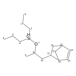 CCC[SiH](CCC)OC(C)CC1CC2C=CC1C2